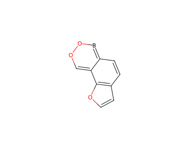 B1=c2ccc3ccoc3c2=COO1